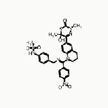 CN1N=C(c2ccc3c(c2)CCCN3C(=NCc2ccc(NS(C)(=O)=O)cc2)c2ccc([N+](=O)[O-])cc2)C(C)(C)SC1=O